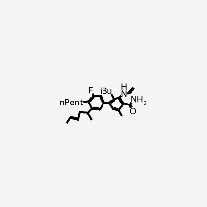 C=CNc1c(C(N)=O)c(C)cc(-c2cc(F)c(CCCCC)c(C(C)C/C=C/C)c2)c1C(C)CC